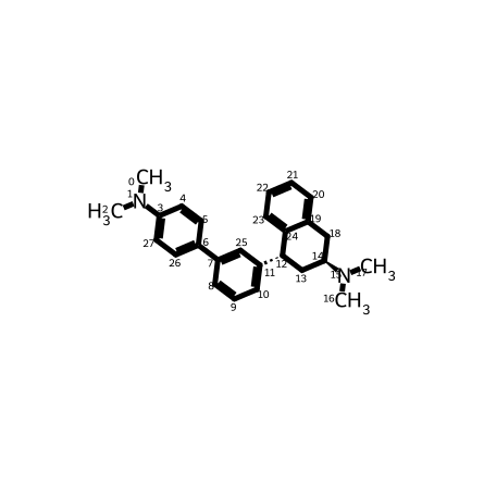 CN(C)c1ccc(-c2cccc([C@H]3C[C@H](N(C)C)Cc4ccccc43)c2)cc1